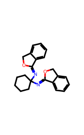 c1ccc2c(c1)COC2=NC1(N=C2OCc3ccccc32)CCCCC1